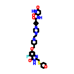 O=C1CCC(NC(=O)C23CC(N4CCN(CCN5CCC(COc6cc(F)c7c(=O)[nH]c(CSC8CCOCC8)nc7c6)CC5)CC4)(C2)C3)C(=O)N1